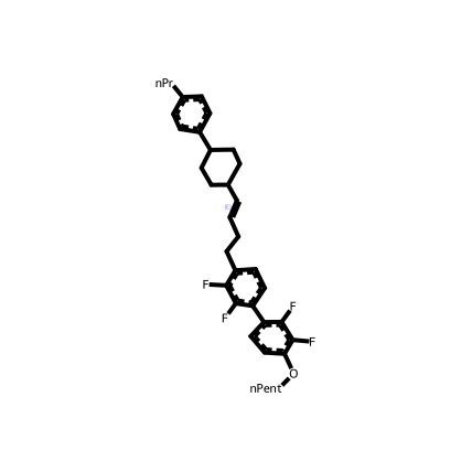 CCCCCOc1ccc(-c2ccc(CC/C=C/C3CCC(c4ccc(CCC)cc4)CC3)c(F)c2F)c(F)c1F